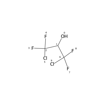 OC(C(F)(F)Cl)C(F)(F)Cl